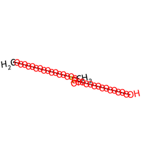 C=CCOCCOCCOCCOCCOCCOCCOCCOCCOCCOCCOCCOCCOCCOCCOC(COCC=C)SC(CO)OCCOCCOCCOCCOCCOCCOCCOCCOCCOCCOCCOCCOCCOCCO